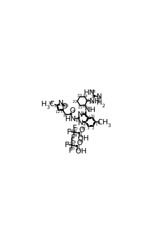 Cc1ccc2nc(NC(=O)Cc3cc(C)no3)nc(NC3CCCCC3NC(=N)N)c2c1.O=C(O)C(F)(F)F.O=C(O)C(F)(F)F